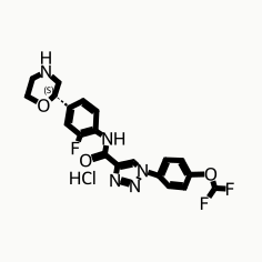 Cl.O=C(Nc1ccc([C@H]2CNCCO2)cc1F)c1cn(-c2ccc(OC(F)F)cc2)nn1